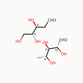 C[C@@H](O)[C@@H](O)[C@@H](O)C=O.O=CC[C@H](O)[C@H](O)CO